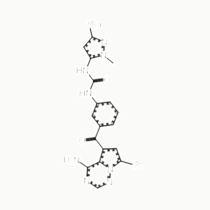 CC(C)c1cc(C(=O)c2cccc(NC(=O)Nc3cc(C(C)(C)C)nn3C)c2)c2c(N)ncnn12